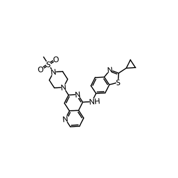 CS(=O)(=O)N1CCN(c2cc3ncccc3c(Nc3ccc4nc(C5CC5)sc4c3)n2)CC1